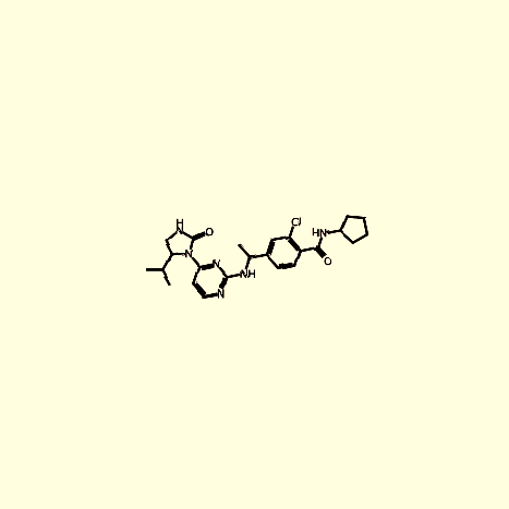 CC(Nc1nccc(N2C(=O)NCC2C(C)C)n1)c1ccc(C(=O)NC2CCCC2)c(Cl)c1